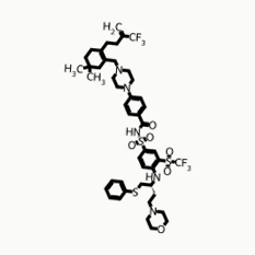 C=C(CCC1=C(CN2CCN(c3ccc(C(=O)NS(=O)(=O)c4ccc(N[C@H](CCN5CCOCC5)CSc5ccccc5)c(S(=O)(=O)C(F)(F)F)c4)cc3)CC2)CC(C)(C)CC1)C(F)(F)F